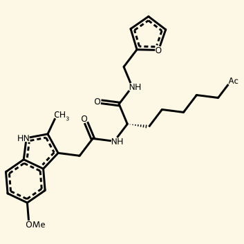 COc1ccc2[nH]c(C)c(CC(=O)N[C@@H](CCCCCC(C)=O)C(=O)NCc3ccco3)c2c1